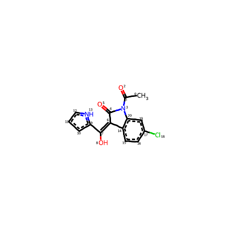 CC(=O)N1C(=O)/C(=C(/O)c2ccc[nH]2)c2ccc(Cl)cc21